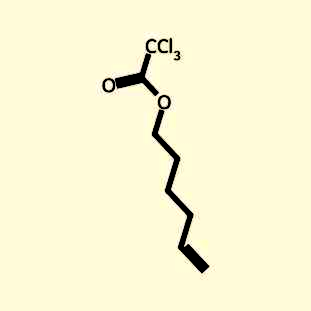 C=CCCCCOC(=O)C(Cl)(Cl)Cl